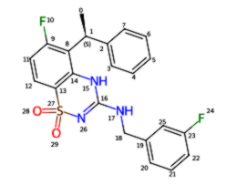 C[C@@H](c1ccccc1)c1c(F)ccc2c1NC(NCc1cccc(F)c1)=NS2(=O)=O